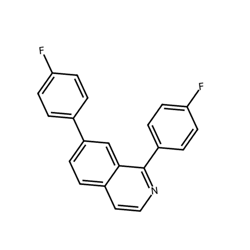 Fc1ccc(-c2ccc3ccnc(-c4ccc(F)cc4)c3c2)cc1